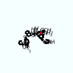 C[C@H]1CCCCN1c1nnc2ccc(O[C@@H]3CC[C@H](NC(=O)N/C(=C/C(=N)C(C)(C)C)Nc4cccc(CN5CCNCC5)c4)c4ccccc43)cn12